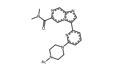 CC(=O)N1CCN(c2cccc(-c3cnc4cnc(C(=O)N(C)C)cn34)n2)CC1